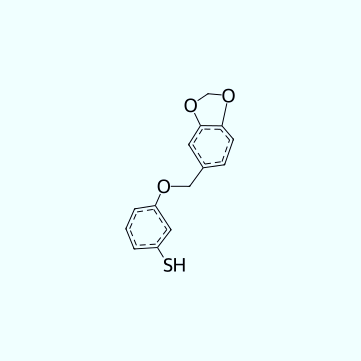 Sc1cccc(OCc2ccc3c(c2)OCO3)c1